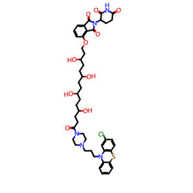 O=C1CCC(N2C(=O)c3cccc(OCCC(O)CCC(O)CCC(O)CCC(O)CCC(=O)N4CCN(CCCN5c6ccccc6Sc6ccc(Cl)cc65)CC4)c3C2=O)C(=O)N1